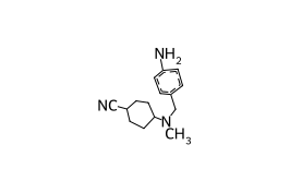 CN(Cc1ccc(N)cc1)C1CCC(C#N)CC1